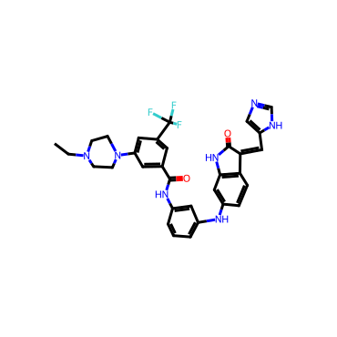 CCN1CCN(c2cc(C(=O)Nc3cccc(Nc4ccc5c(c4)NC(=O)C5=Cc4cnc[nH]4)c3)cc(C(F)(F)F)c2)CC1